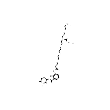 CC(C)(C)OC(=O)N(CCOCCN)CCOCCOCCOCCC(=O)Nc1cccc2c1CN(C1CCC(=O)NC1=O)C2=O